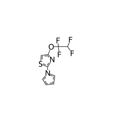 FC(F)C(F)(F)Oc1csc(-n2cccc2)n1